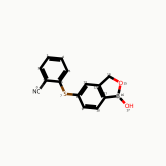 N#Cc1ccccc1Sc1ccc2c(c1)COB2O